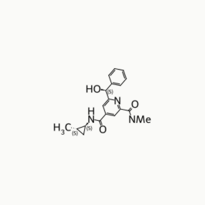 CNC(=O)c1cc(C(=O)N[C@H]2C[C@@H]2C)cc([C@@H](O)c2ccccc2)n1